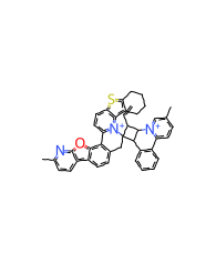 C=CC1C2C(c3ccccc3-c3ccc(C)c[n+]32)C12Cc1ccc3c(oc4nc(C)ccc43)c1-c1ccc3sc4c(c3[n+]12)CCCC4